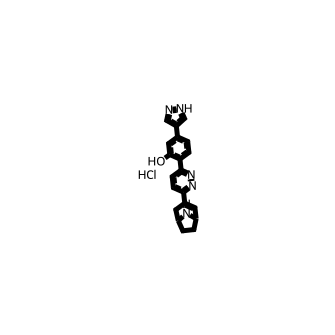 Cl.Oc1cc(-c2cn[nH]c2)ccc1-c1ccc(C2=CC3CCC(C2)N3)nn1